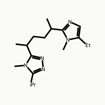 CCc1cnc(C(C)CCC(C)c2nnc(C(C)C)n2C)n1C